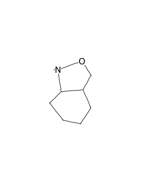 C1CCC2[N]OCC2C1